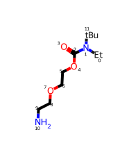 CCN(C(=O)OCCOCCN)C(C)(C)C